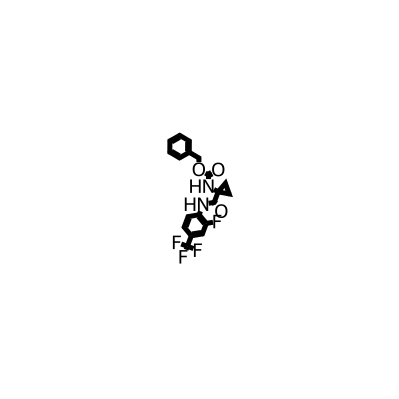 O=C(NC1(C(=O)Nc2ccc(C(F)(F)F)cc2F)CC1)OCc1ccccc1